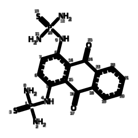 NP(N)(=S)Nc1ccc(NP(N)(N)=S)c2c1C(=O)c1ccccc1C2=O